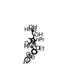 CCCc1c(C(O)CC(=O)NO)c(C)c2c(=O)[nH]c(-c3cc(S(=O)(=O)N4CCN(C)CC4)ccc3OCC)nn12